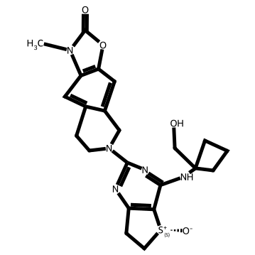 Cn1c(=O)oc2cc3c(cc21)CCN(c1nc2c(c(NC4(CO)CCC4)n1)[S@+]([O-])CC2)C3